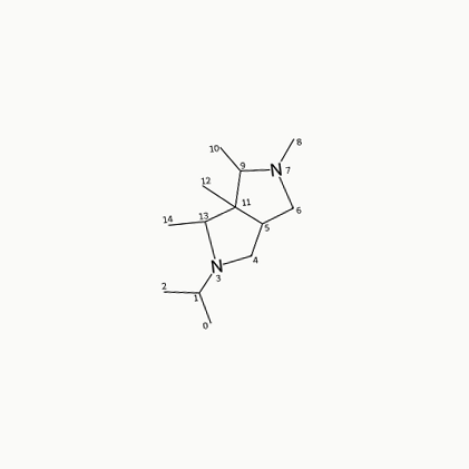 CC(C)N1CC2CN(C)C(C)C2(C)C1C